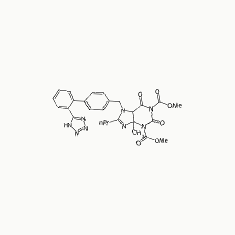 CCCC1=NC2(C)C(C(=O)N(C(=O)OC)C(=O)N2C(=O)OC)N1Cc1ccc(-c2ccccc2-c2nnn[nH]2)cc1